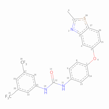 Cc1nc2cc(Oc3ccc(NC(=O)Nc4cc(C(F)(F)F)cc(C(F)(F)F)c4)cc3)ccc2s1